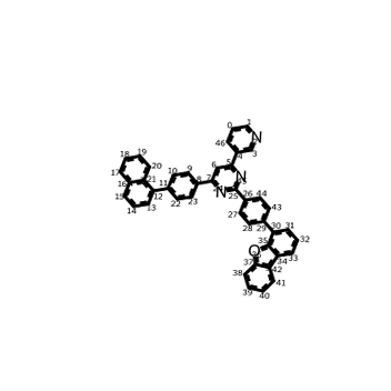 c1cncc(-c2cc(-c3ccc(-c4cccc5ccccc45)cc3)nc(-c3ccc(-c4cccc5c4oc4ccccc45)cc3)n2)c1